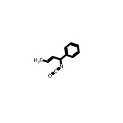 CC=CC(N=C=O)c1ccccc1